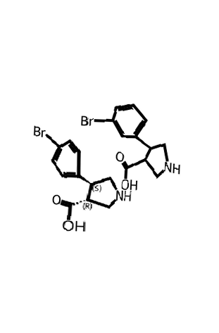 O=C(O)C1CNCC1c1cccc(Br)c1.O=C(O)[C@H]1CNC[C@@H]1c1ccc(Br)cc1